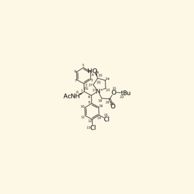 CC(=O)N[C@@H](c1ccccc1)C(c1ccc(Cl)c(Cl)c1)[N+]1(CC(=O)OC(C)(C)C)CC[C@H](O)C1